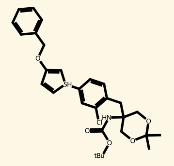 CC(C)(C)OC(=O)NC1(Cc2ccc([SH]3C=CC(OCc4ccccc4)=C3)cc2Cl)COC(C)(C)OC1